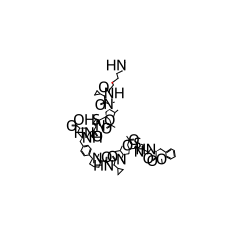 CNCCCCCC(=O)N[C@H](C(=O)N(C)[C@H](C[C@@H](OC(C)=O)c1nc(C(=O)NN[C@@H](Cc2ccc(C3CCC[C@H](C(=O)N[C@H](C(=O)N(C)[C@H](C[C@@H](OC(C)=O)c4nc(C(=O)N[C@@H](Cc5ccccc5)C(=O)OC)cs4)C(C)C)C4CC4)N3C)cc2)C[C@H](C)C(=O)O)cs1)C(C)C)C1CC1